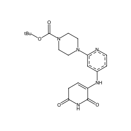 CC(C)(C)OC(=O)N1CCN(c2cc(NC3=CCC(=O)NC3=O)ccn2)CC1